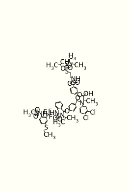 CC(C(=O)O)N(C(=O)c1ccccc1)c1ccc(Cl)c(Cl)c1.CC(C)N1C(=O)c2ccccc2NS1(=O)=O.CC(C)OP(=S)(OC(C)C)SCCNS(=O)(=O)c1ccccc1.CCSc1ccc(NS(C)(=O)=O)c(C(F)(F)F)c1